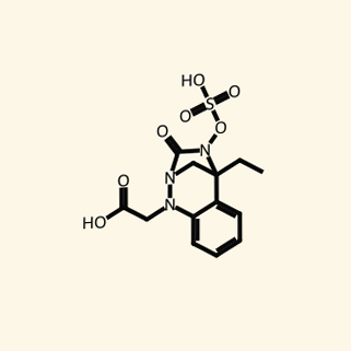 CCC12CN(C(=O)N1OS(=O)(=O)O)N(CC(=O)O)c1ccccc12